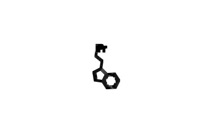 CC(C)CCC1C=Cc2ccccc21